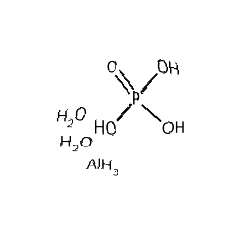 O.O.O=P(O)(O)O.[AlH3]